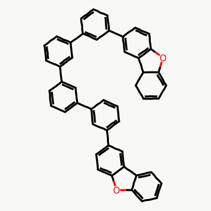 C1=CCC2C(=C1)Oc1ccc(-c3cccc(-c4cccc(-c5cccc(-c6cccc(-c7ccc8oc9ccccc9c8c7)c6)c5)c4)c3)cc12